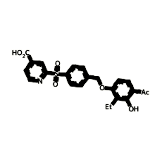 CCc1c(OCc2ccc(S(=O)(=O)c3cc(C(=O)O)ccn3)cc2)ccc(C(C)=O)c1O